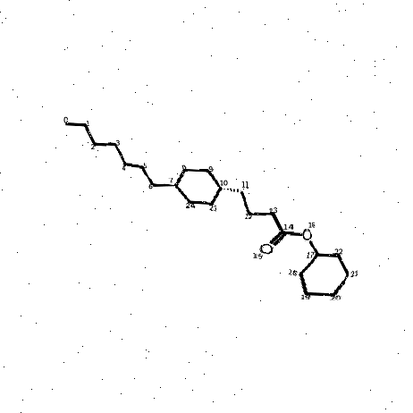 CCCCCCC[C@H]1CC[C@H](CCCC(=O)OC2CCCCC2)CC1